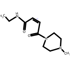 CCNC(=O)/C=C\C(=O)N1CCN(C)CC1